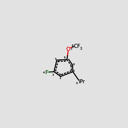 [CH2]C(C)c1cc(F)cc(OC(F)(F)F)c1